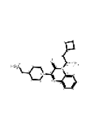 C[C@@H](CC1CCC1)n1c(=O)c(N2CCC(CC(=O)O)CC2)nc2ccccc21